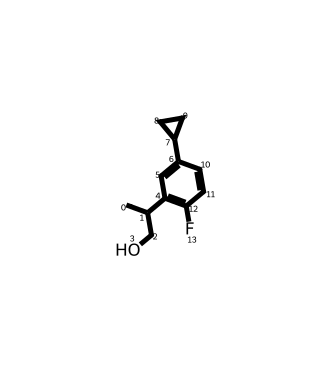 [CH2]C(CO)c1cc(C2CC2)ccc1F